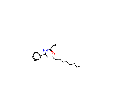 C=CC(=O)NC(CCCCCCCCCC)c1ccccc1